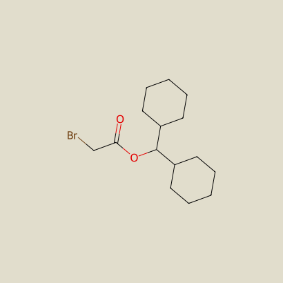 O=C(CBr)OC(C1CCCCC1)C1CCCCC1